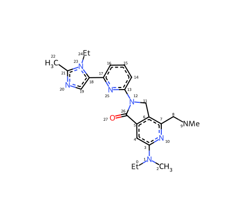 CCN(C)c1cc2c(c(CNC)n1)CN(c1cccc(-c3cnc(C)n3CC)n1)C2=O